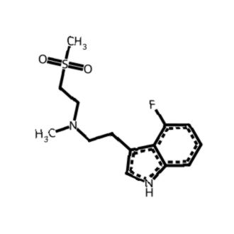 CN(CCc1c[nH]c2cccc(F)c12)CCS(C)(=O)=O